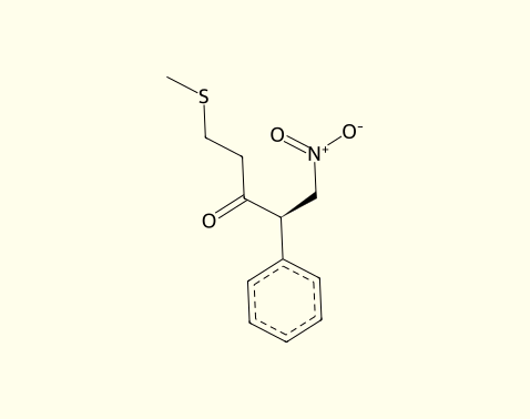 CSCCC(=O)[C@@H](C[N+](=O)[O-])c1ccccc1